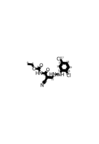 CCOC(=O)NC(=O)C(C#N)=CNNc1cc(Cl)ccc1Cl